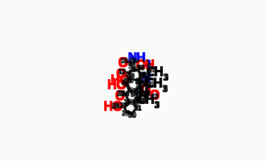 CCC(=O)O[C@H]1[C@H]2C(=C(O)[C@]3(O)C(=O)C(C(N)=O)=C(O)[C@@H](N(C)C)[C@H]13)C(=O)c1c(O)cccc1[C@@H]2C